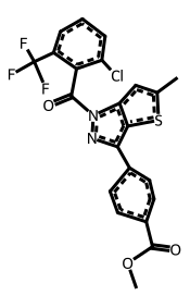 COC(=O)c1ccc(-c2nn(C(=O)c3c(Cl)cccc3C(F)(F)F)c3cc(C)sc23)cc1